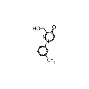 O=c1ccn(-c2cccc(C(F)(F)F)c2)nc1CO